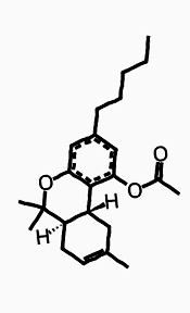 CCCCCc1cc(OC(C)=O)c2c(c1)OC(C)(C)[C@@H]1CC=C(C)C[C@@H]21